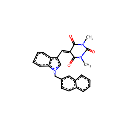 CN1C(=O)C(=Cc2cn(Cc3ccc4ccccc4c3)c3ccccc23)C(=O)N(C)C1=O